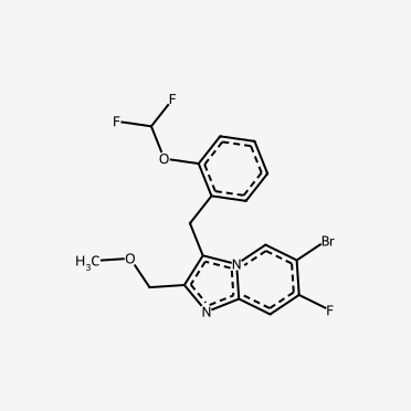 COCc1nc2cc(F)c(Br)cn2c1Cc1ccccc1OC(F)F